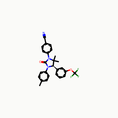 Cc1ccc(N2C(=O)N(c3ccc(C#N)cc3)C(C)(C)[C@H]2c2cccc(OC(F)(F)F)c2)cc1